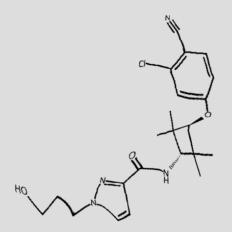 CC1(C)[C@H](NC(=O)c2ccn(CCCO)n2)C(C)(C)[C@H]1Oc1ccc(C#N)c(Cl)c1